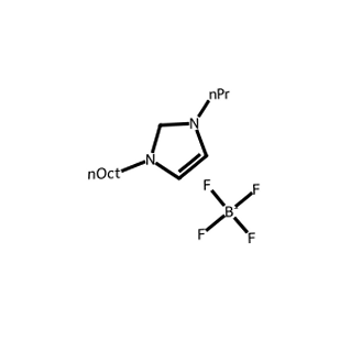 CCCCCCCCN1C=CN(CCC)C1.F[B-](F)(F)F